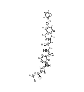 Cc1c(OCc2cnco2)ccc2c1CCN(C[C@@H](O)CNC(=O)c1ccnc(NC3CN(C(=O)CC(C)C)C3)c1)C2